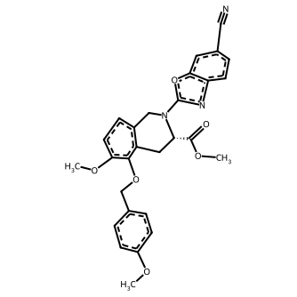 COC(=O)[C@@H]1Cc2c(ccc(OC)c2OCc2ccc(OC)cc2)CN1c1nc2ccc(C#N)cc2o1